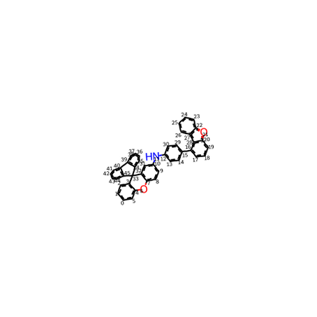 c1ccc2c(c1)Oc1ccc(Nc3ccc(-c4cccc5oc6ccccc6c45)cc3)cc1C21c2ccccc2-c2ccccc21